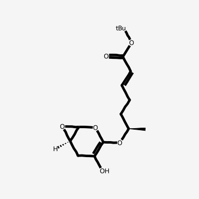 C[C@H](CC/C=C/C(=O)OC(C)(C)C)OC1=C(O)C[C@H]2OC2O1